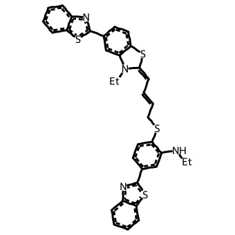 CCNc1cc(-c2nc3ccccc3s2)ccc1SC/C=C/C=C1/Sc2ccc(-c3nc4ccccc4s3)cc2N1CC